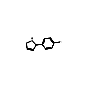 Clc1ccc(C2C=CCN2)cc1